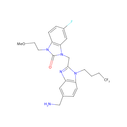 COCCn1c(=O)n(Cc2nc3cc(CN)ccc3n2CCCC(F)(F)F)c2cc(F)ccc21